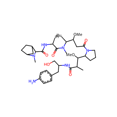 CCC(C)C(C(CC(=O)N1CCCC1C(OC)C(C)C(=O)NC(CO)Cc1ccc(N)cc1)OC)N(C)C(=O)C(NC(=O)C1C2CCC(C2)N1C)C(C)C